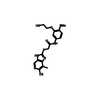 CNc1ccc(NC(=O)CSc2nc3c(C)c(C#N)ncc3[nH]2)cc1OCCO